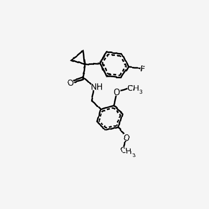 COc1ccc(CNC(=O)C2(c3ccc(F)cc3)CC2)c(OC)c1